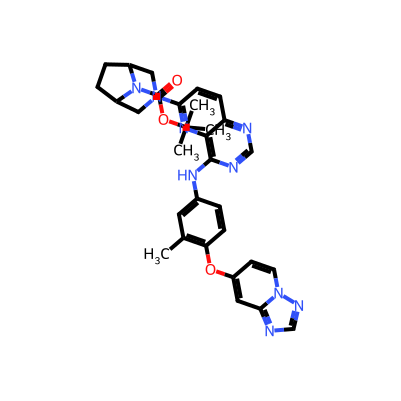 Cc1cc(Nc2ncnc3ccc(N4CC5CCC(C4)N5C(=O)OC(C)(C)C)nc23)ccc1Oc1ccn2ncnc2c1